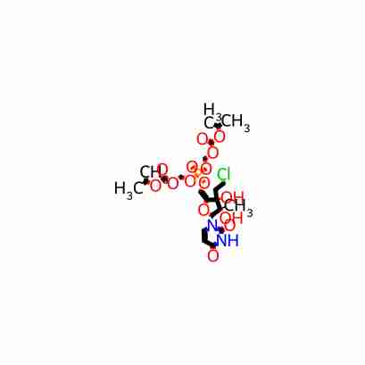 CC(C)OC(=O)OCOP(=O)(O/C=C1/O[C@@H](n2ccc(=O)[nH]c2=O)[C@](C)(O)[C@@]1(O)CCCl)OCOC(=O)OC(C)C